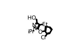 CCc1c(CO)nn(C(C)C)c1Oc1ccccc1Cl